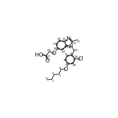 CCCCCOc1ccc(Cn2c(C)nc3ccc(OCC(=O)O)cc32)c(Cl)c1